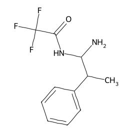 CC(c1ccccc1)C(N)NC(=O)C(F)(F)F